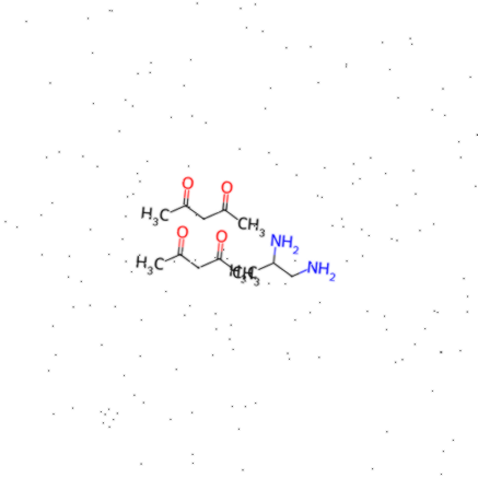 CC(=O)CC(C)=O.CC(=O)CC(C)=O.CC(N)CN